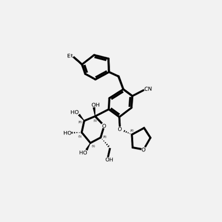 CCc1ccc(Cc2cc([C@]3(O)O[C@H](CO)[C@@H](O)[C@H](O)[C@H]3O)c(O[C@@H]3CCOC3)cc2C#N)cc1